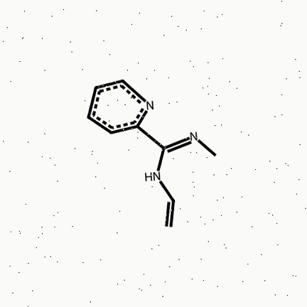 C=CN/C(=N\C)c1ccccn1